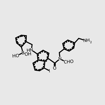 NCc1ccc(CN(C=O)C(=O)c2ccc(NCc3ccccc3B(O)O)c3cccc(I)c23)cc1